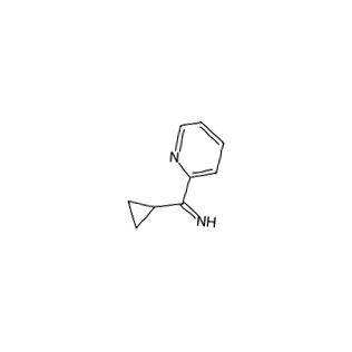 N=C(c1ccccn1)C1CC1